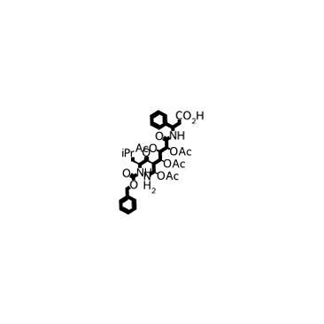 CC(=O)O[C@H]([C@H](OC(C)=O)[C@H](C(=O)[C@H](CC(C)C)NC(=O)OCc1ccccc1)[C@@H](N)OC(C)=O)[C@H](OC(C)=O)C(=O)NC(CC(=O)O)c1ccccc1